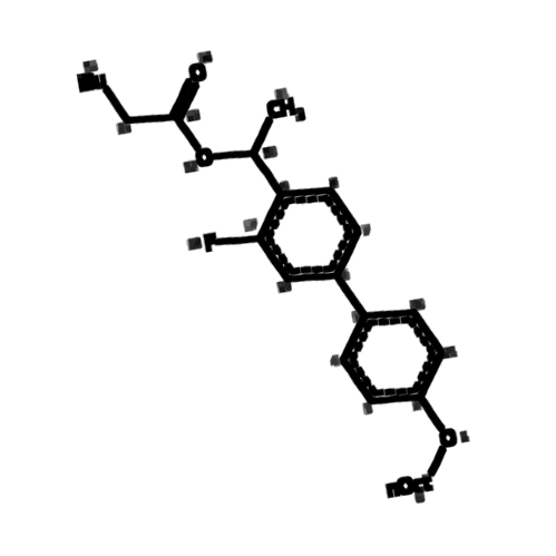 CCCCCCCCOc1ccc(-c2ccc(C(C)OC(=O)CC(C)CC)c(F)c2)cc1